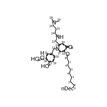 CCCCCCCCCCCCCCCCCCOc1cn(Cc2ccc(O)cc2)c(CNCCCN(C)C)cc1=O.Cl.Cl